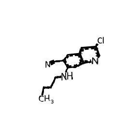 CCCCNc1cc2ncc(Cl)cc2cc1C#N